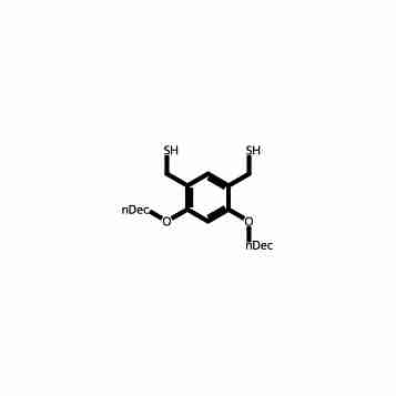 CCCCCCCCCCOc1cc(OCCCCCCCCCC)c(CS)cc1CS